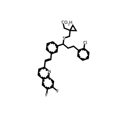 O=C(O)CC1(CSC(CCc2ccccc2Cl)c2cccc(C=Cc3ccc4cc(F)c(F)cc4n3)c2)CC1